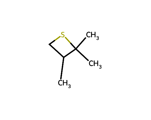 CC1CSC1(C)C